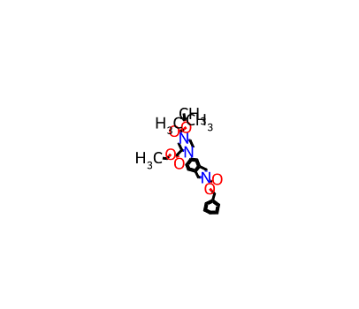 CCOC(=O)C1CN(C(=O)OC(C)(C)C)CCN1c1ccc2c(c1)CN(C(=O)OCc1ccccc1)C2